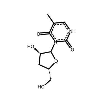 Cc1c[nH]c(=O)n(C2O[C@H](CO)C[C@H]2O)c1=O